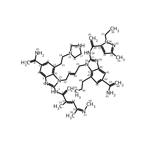 C=C(Nc1nc2cc(C(=C)N)cc(CCN3CCNC3)c2n1C/C=C/Cn1c(NC(=C)c2cc(C)nn2CC)nc2cc(C(=C)N)cc(CCC)c21)/C(C)=C/C(C)=N\C